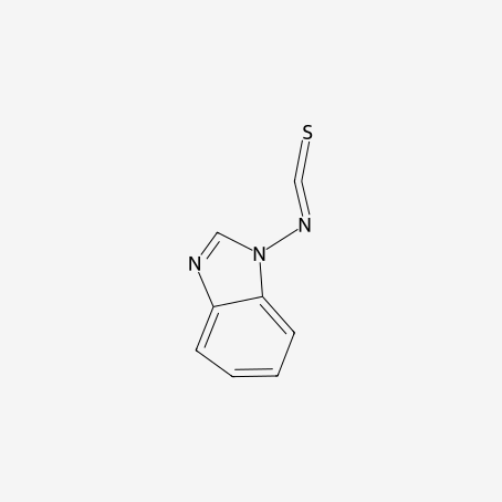 S=C=Nn1cnc2ccccc21